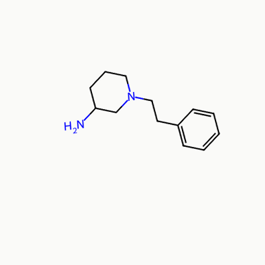 NC1CCCN(CCc2ccccc2)C1